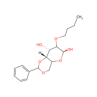 CCCCOC1[C@@H](O)[C@H]2OC(c3ccccc3)OCC2O[C@@H]1O